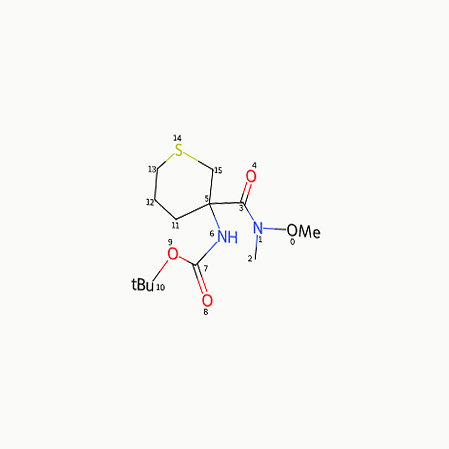 CON(C)C(=O)C1(NC(=O)OC(C)(C)C)CCCSC1